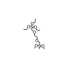 CCO[Si](COCCOC[Si](C)(OC)OC)(OCC)OCC